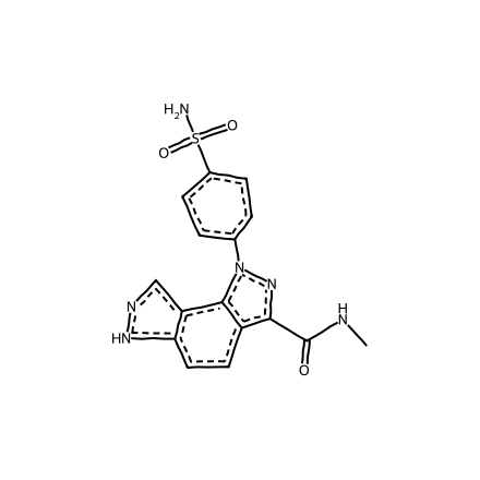 CNC(=O)c1nn(-c2ccc(S(N)(=O)=O)cc2)c2c1ccc1[nH]ncc12